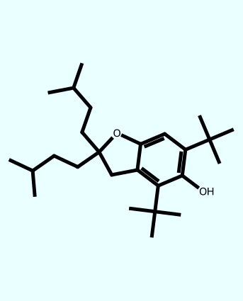 CC(C)CCC1(CCC(C)C)Cc2c(cc(C(C)(C)C)c(O)c2C(C)(C)C)O1